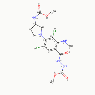 CCC(C)Nc1c(C(=O)NNC(=O)OC(C)(C)C)cc(F)c(N2CCC(NC(=O)OC(C)(C)C)C2)c1Cl